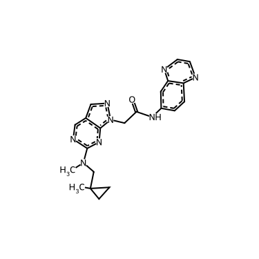 CN(CC1(C)CC1)c1ncc2cnn(CC(=O)Nc3ccc4nccnc4c3)c2n1